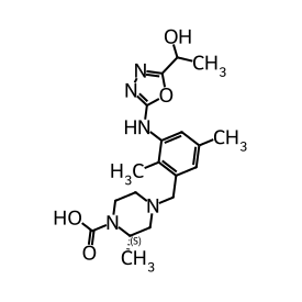 Cc1cc(CN2CCN(C(=O)O)[C@@H](C)C2)c(C)c(Nc2nnc(C(C)O)o2)c1